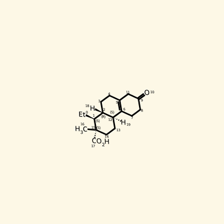 CC[C@H]1[C@@H]2CCC3=C(CCC(=O)C3)[C@H]2CC[C@]1(C)C(=O)O